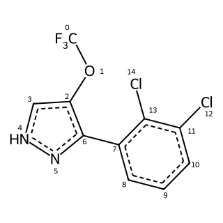 FC(F)(F)Oc1c[nH]nc1-c1cccc(Cl)c1Cl